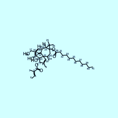 C/C=C(\C)C(=O)O[C@H]1C(C)=CC23C(=O)[C@@H](C=C(CO)[C@@H](O)[C@]12O)[C@@H]1C(C)(C)[C@]1(OC(=O)CCCCCCCCCCC)CC3C